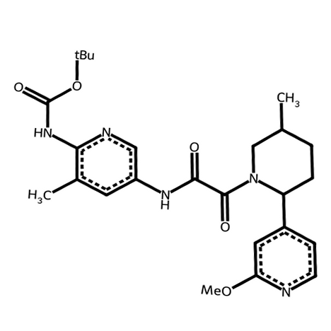 COc1cc(C2CCC(C)CN2C(=O)C(=O)Nc2cnc(NC(=O)OC(C)(C)C)c(C)c2)ccn1